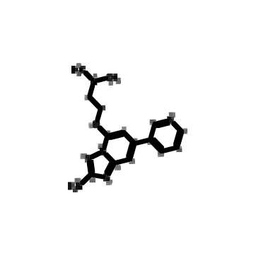 CN(C)CCOc1cc(-c2cccnc2)cc2nc(N)nn12